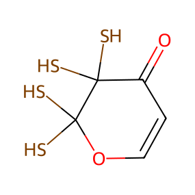 O=C1C=COC(S)(S)C1(S)S